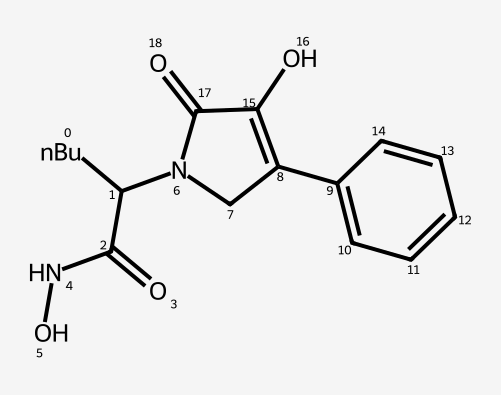 CCCCC(C(=O)NO)N1CC(c2ccccc2)=C(O)C1=O